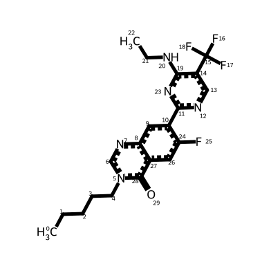 CCCCCn1cnc2cc(-c3ncc(C(F)(F)F)c(NCC)n3)c(F)cc2c1=O